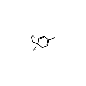 C[C@]1(CN)C=CC(Cl)=CC1